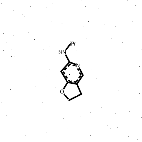 CC(C)Nc1cc2c(cn1)CCO2